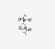 CC1CC(=O)N(CC(C)N2C(=O)CC(C)C2=O)C1=O